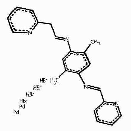 Br.Br.Br.Br.Cc1cc(N=Cc2ccccn2)c(C)cc1N=CCc1ccccn1.[Pd].[Pd]